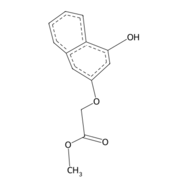 COC(=O)COc1cc(O)c2ccccc2c1